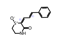 O=C1NCC[S+]([O-])/C1=C/C=C/c1ccccc1